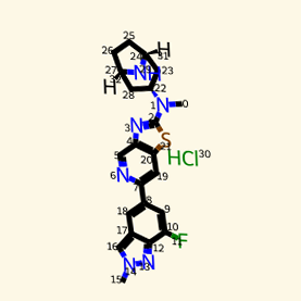 CN(c1nc2cnc(-c3cc(F)c4nn(C)cc4c3)cc2s1)[C@@H]1C[C@H]2CC[C@@H](C1)N2.Cl